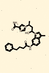 Cc1cn(C(O)CC(C)n2cnc(C(N)=O)c2)c2cc(NC(=O)CCCc3ccccc3)ccc12